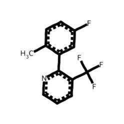 Cc1ccc(F)cc1-c1ncccc1C(F)(F)F